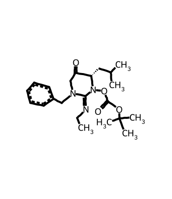 CCN=C1N(Cc2ccccc2)CC(=O)[C@H](CC(C)C)N1OC(=O)OC(C)(C)C